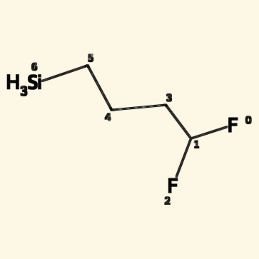 FC(F)CCC[SiH3]